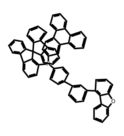 c1cc(-c2ccc(N(c3ccc4c5ccccc5c5ccccc5c4c3)c3cccc4c3C3(c5ccccc5-c5ccccc53)c3ccccc3-4)cc2)cc(-c2cccc3oc4ccccc4c23)c1